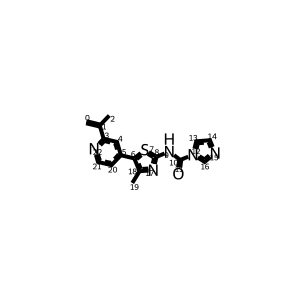 C=C(C)c1cc(-c2sc(NC(=O)n3ccnc3)nc2C)ccn1